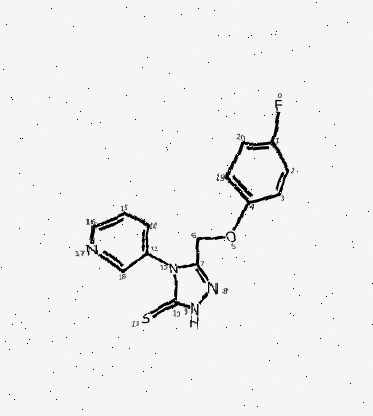 Fc1ccc(OCc2n[nH]c(=S)n2-c2cccnc2)cc1